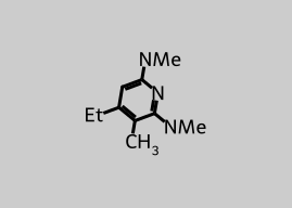 CCc1cc(NC)nc(NC)c1C